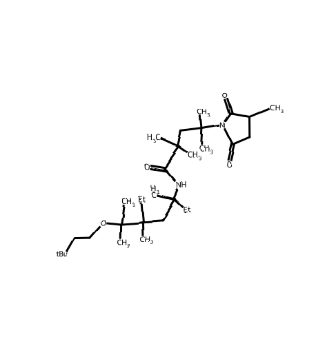 CCC(C)(CC(C)(CC)C(C)(C)OCCC(C)(C)C)NC(=O)C(C)(C)CC(C)(C)N1C(=O)CC(C)C1=O